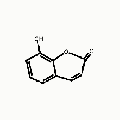 O=c1ccc2cccc(O)c2o1